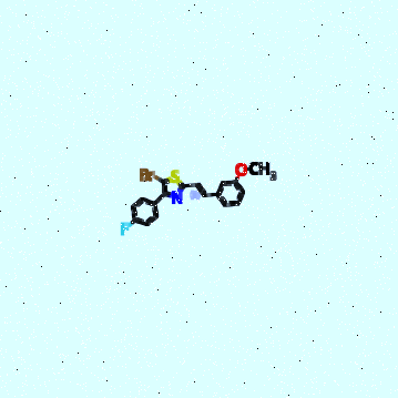 COc1cccc(/C=C/c2nc(-c3ccc(F)cc3)c(Br)s2)c1